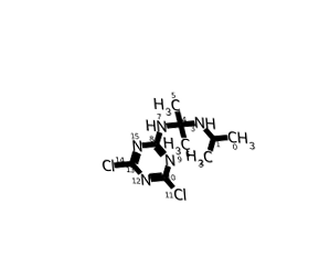 CC(C)NC(C)(C)Nc1nc(Cl)nc(Cl)n1